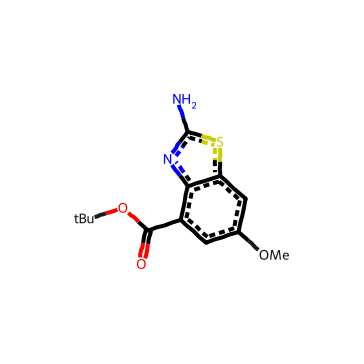 COc1cc(C(=O)OC(C)(C)C)c2nc(N)sc2c1